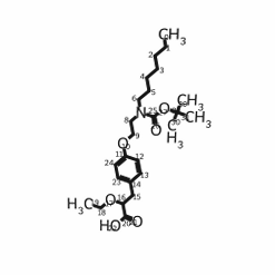 CCCCCCCN(CCOc1ccc(CC(OCC)C(=O)O)cc1)C(=O)OC(C)(C)C